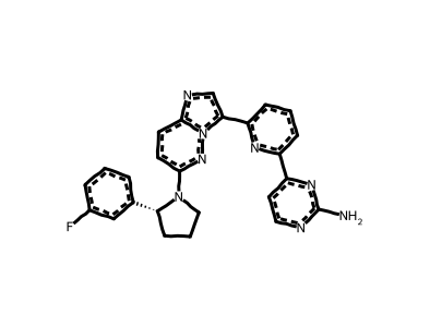 Nc1nccc(-c2cccc(-c3cnc4ccc(N5CCC[C@@H]5c5cccc(F)c5)nn34)n2)n1